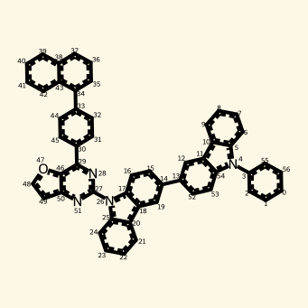 c1ccc(-n2c3ccccc3c3cc(-c4ccc5c(c4)c4ccccc4n5-c4nc(-c5ccc(-c6cccc7ccccc67)cc5)c5occc5n4)ccc32)cc1